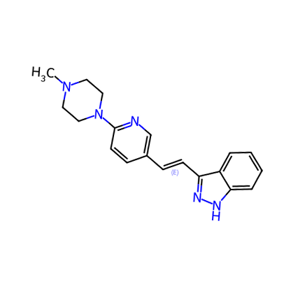 CN1CCN(c2ccc(/C=C/c3n[nH]c4ccccc34)cn2)CC1